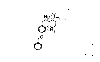 C[C@]1(C(N)=O)CCC[C@]2(C)c3cc(OCc4ccccc4)ccc3CC[C@@H]12